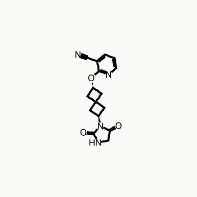 N#Cc1cccnc1O[C@H]1CC2(C1)C[C@H](N1C(=O)CNC1=O)C2